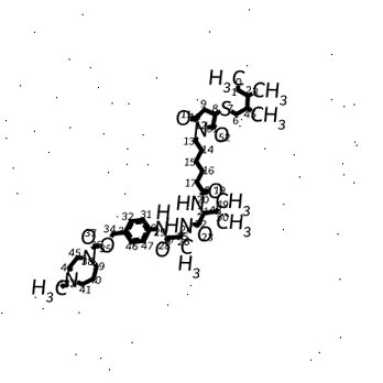 CCC(C)C(C)CSC1CC(=O)N(CCCCCC(=O)N[C@H](C(=O)N[C@@H](C)C(=O)Nc2ccc(COC(=O)N3CCCN(C)CC3)cc2)C(C)C)C1=O